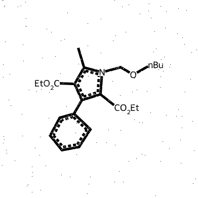 CCCCOCn1c(C)c(C(=O)OCC)c(-c2ccccc2)c1C(=O)OCC